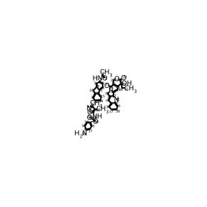 CC(=O)Nc1ccc2c(c1)Cc1ccccc1-2.CC[C@@]1(O)C(=O)OCc2c1cc1n(c2=O)Cc2cc3ccccc3nc2-1.Cc1noc(NS(=O)(=O)c2ccc(N)cc2)c1C